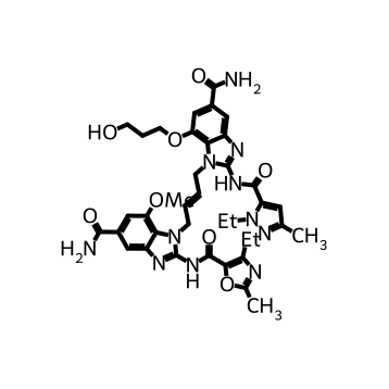 CCc1nc(C)oc1C(=O)Nc1nc2cc(C(N)=O)cc(OC)c2n1C/C=C/Cn1c(NC(=O)c2cc(C)nn2CC)nc2cc(C(N)=O)cc(OCCCO)c21